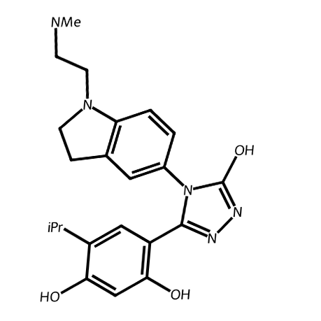 CNCCN1CCc2cc(-n3c(O)nnc3-c3cc(C(C)C)c(O)cc3O)ccc21